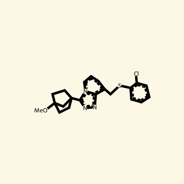 COC12CCC(c3nnc4c(CSc5ccccc5Cl)cccn34)(CC1)C2